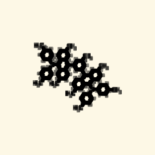 Cc1ccc(N(c2ccc(C)cc2)c2c3ccc(C)cc3c(-c3cc(C)cc(-c4c5cc(C)ccc5c(N(c5ccc(C)cc5)c5ccc(C)cc5)c5cc(C)ccc45)c3)c3ccc(C)cc23)cc1